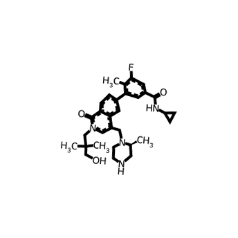 Cc1c(F)cc(C(=O)NC2CC2)cc1-c1ccc2c(=O)n(CC(C)(C)CO)cc(CN3CCNC[C@@H]3C)c2c1